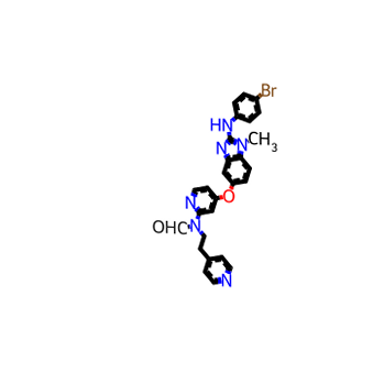 Cn1c(Nc2ccc(Br)cc2)nc2cc(Oc3ccnc(N(C=O)CCc4ccncc4)c3)ccc21